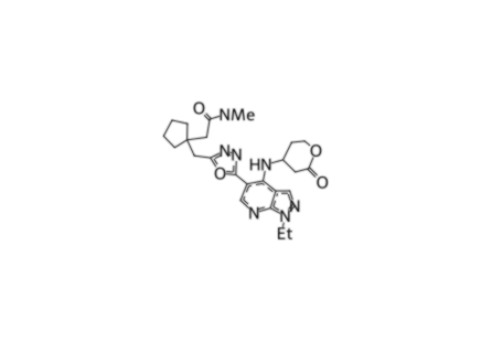 CCn1ncc2c(NC3CCOC(=O)C3)c(-c3nnc(CC4(CC(=O)NC)CCCC4)o3)cnc21